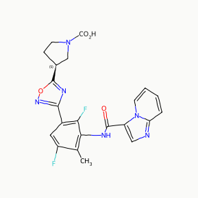 Cc1c(F)cc(-c2noc([C@H]3CCN(C(=O)O)C3)n2)c(F)c1NC(=O)c1cnc2ccccn12